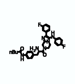 CCCCC(=O)Nc1ccc(C[C@H](N)C(=O)N2CCn3c(nc(-c4cccc(F)c4)c3Nc3ccc(F)cc3)C2)cc1